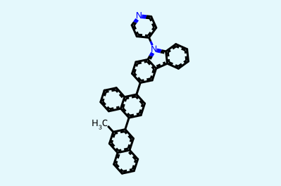 Cc1cc2ccccc2cc1-c1ccc(-c2ccc3c(c2)c2ccccc2n3-c2ccncc2)c2ccccc12